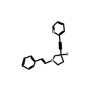 FC1(C#Cc2ccccn2)CCN(C=Cc2ccccc2)C1